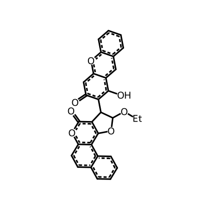 CCOC1Oc2c(c(=O)oc3ccc4ccccc4c23)C1c1c(O)c2cc3ccccc3oc-2cc1=O